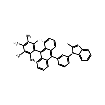 Bc1c(B)c(B)c(-c2c3ccccc3c(-c3cccc(-n4c(C)nc5ccccc54)c3)c3ccccc23)c(B)c1B